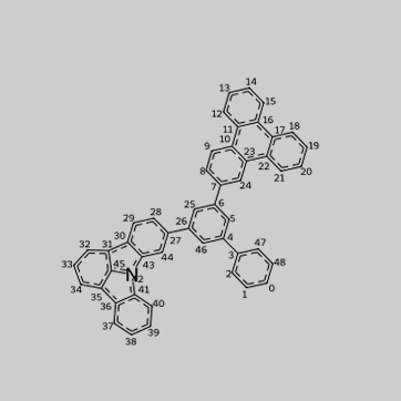 c1ccc(-c2cc(-c3ccc4c5ccccc5c5ccccc5c4c3)cc(-c3ccc4c5cccc6c7ccccc7n(c4c3)c65)c2)cc1